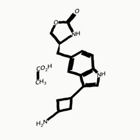 CC(=O)O.NC1CC(c2c[nH]c3ccc(C[C@H]4COC(=O)N4)cc23)C1